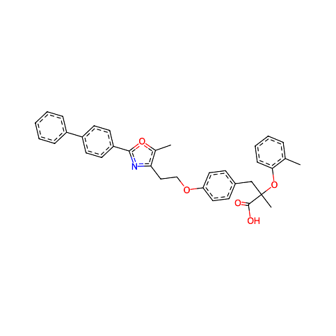 Cc1ccccc1OC(C)(Cc1ccc(OCCc2nc(-c3ccc(-c4ccccc4)cc3)oc2C)cc1)C(=O)O